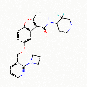 Cc1oc2ccc(OCc3cccnc3N3CCC3)cc2c1C(=O)NC1CCNCC1(F)F